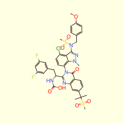 COc1ccc(CN(c2nn(C)c3c(-n4c(C(Cc5cc(F)cc(F)c5)NC(=O)O)nc5cc(C(C)(C)S(C)(=O)=O)ccc5c4=O)ccc(Cl)c23)S(C)(=O)=O)cc1